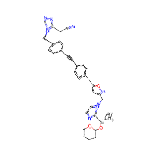 C[C@H](OC1CCCCO1)c1nccn1Cc1cc(-c2ccc(C#Cc3ccc(Cn4cnnc4CC#N)cc3)cc2)on1